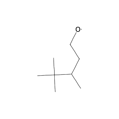 CC(CC[O])C(C)(C)C